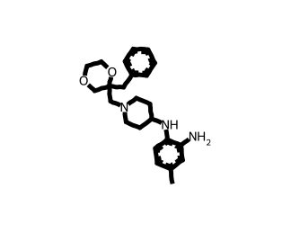 Cc1ccc(NC2CCN(CC3(Cc4ccccc4)COCCO3)CC2)c(N)c1